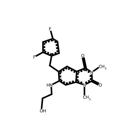 Cn1c(=O)c2cc(Cc3ccc(F)cc3F)c(NCCO)cc2n(C)c1=O